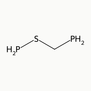 PCSP